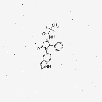 CC(F)(F)C(=O)N[C@H]1CC(=O)N(c2ccc3[nH]ncc3c2)C1c1ccccc1